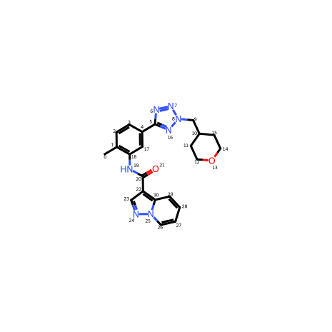 Cc1ccc(-c2nnn(CC3CCOCC3)n2)cc1NC(=O)c1cnn2ccccc12